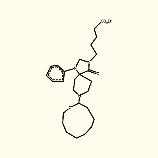 CCOC(=O)CCCCN1CN(c2ccccc2)C2(CCN(C3CCCCCCCCC3)CC2)C1=O